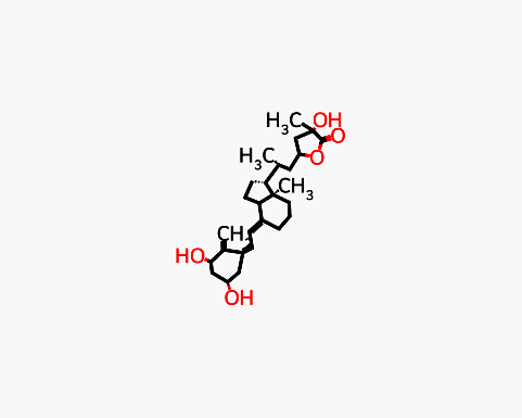 C=C1/C(=C\C=C2CCC[C@@]3(C)C2CC[C@@H]3[C@H](C)CC2CC(C)(O)C(=O)O2)C[C@@H](O)CC1O